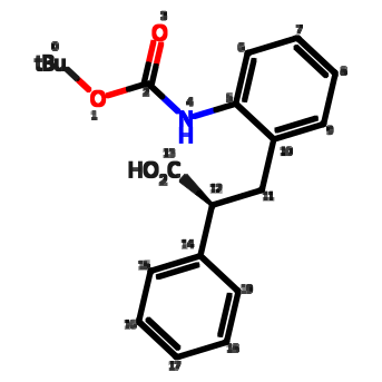 CC(C)(C)OC(=O)Nc1ccccc1C[C@H](C(=O)O)c1ccccc1